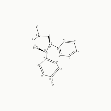 CN(C)C[C@@H](c1ccccc1)[C@H](O)c1ccc(F)cc1